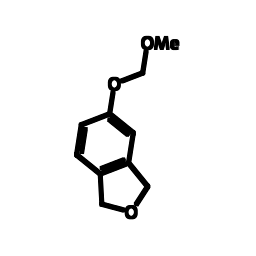 COCOc1ccc2c(c1)COC2